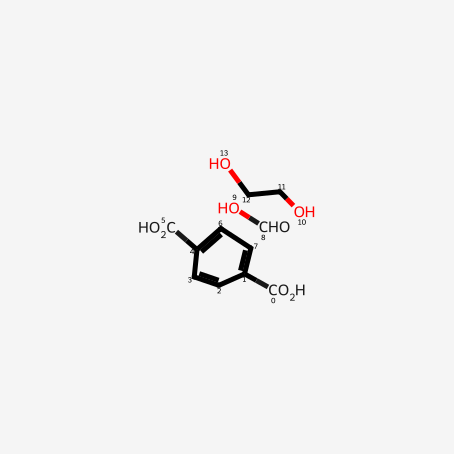 O=C(O)c1ccc(C(=O)O)cc1.O=CO.OCCO